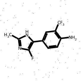 Cc1nc(F)c(-c2ccc(N)c(C(F)(F)F)c2)[nH]1